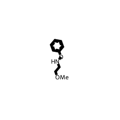 COCCNOc1ccccc1